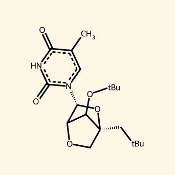 Cc1cn([C@@H]2O[C@@]3(CC(C)(C)C)COC2C3OC(C)(C)C)c(=O)[nH]c1=O